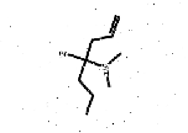 C=CCC(Br)(CCC)[SiH](C)C